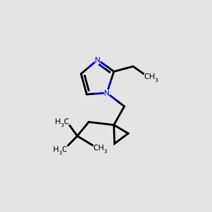 CCc1nccn1CC1(CC(C)(C)C)CC1